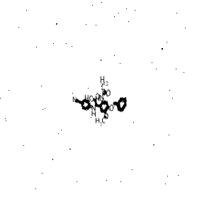 COc1cc(C(Nc2ccc(C#N)cc2)C(=O)O)c(NC(C)=O)cc1OCc1ccccc1